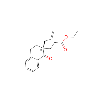 C=CC[C@]1(CCC(=O)OCC)CCc2ccccc2C1=O